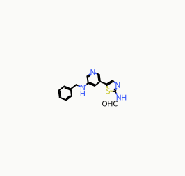 O=CNc1ncc(-c2cncc(NCc3ccccc3)c2)s1